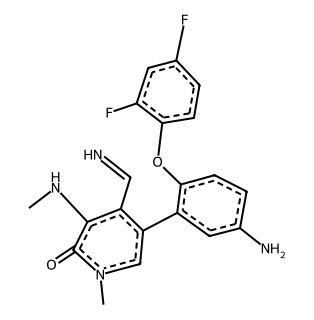 CNc1c(C=N)c(-c2cc(N)ccc2Oc2ccc(F)cc2F)cn(C)c1=O